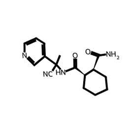 CC(C#N)(NC(=O)[C@@H]1CCCC[C@@H]1C(N)=O)c1cccnc1